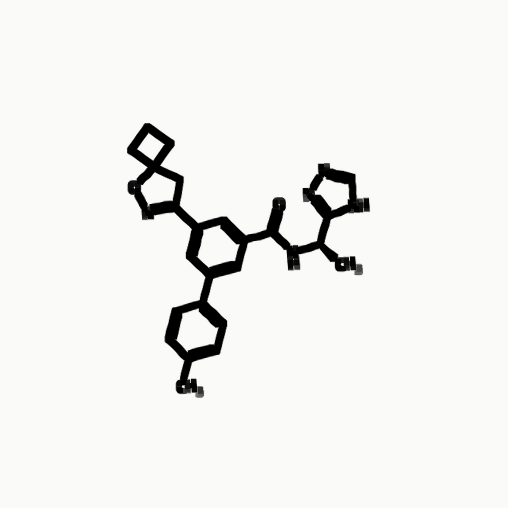 Cc1ccc(-c2cc(C(=O)N[C@H](C)c3nnc[nH]3)cc(C3=NOC4(CCC4)C3)c2)cc1